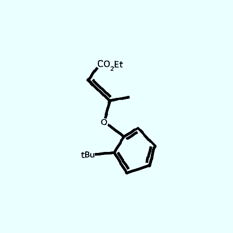 CCOC(=O)/C=C(\C)Oc1ccccc1C(C)(C)C